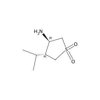 CC(C)[C@H]1CS(=O)(=O)C[C@@H]1N